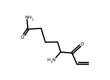 C=CC(=O)C(N)CCCC(N)=O